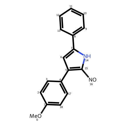 COc1ccc(-c2cc(-c3ccccc3)[nH]c2N=O)cc1